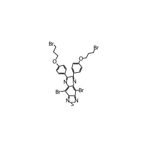 BrCCCOc1ccc(-c2nc3c(Br)c4nsnc4c(Br)c3nc2-c2ccc(OCCCBr)cc2)cc1